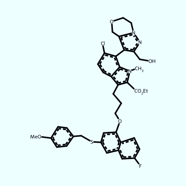 CCOC(=O)c1c(CCCOc2cc(SCc3ccc(OC)cc3)cc3cc(F)ccc23)c2ccc(Cl)c(-c3c(CO)nn4c3COCC4)c2n1C